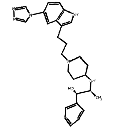 C[C@H](NC1CCN(CCCc2c[nH]c3ccc(-n4cnnc4)cc23)CC1)[C@H](O)c1ccccc1